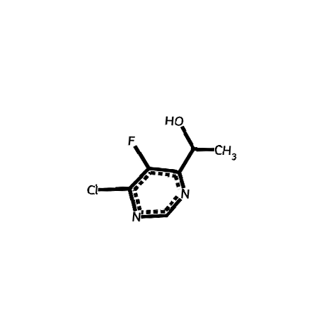 CC(O)c1ncnc(Cl)c1F